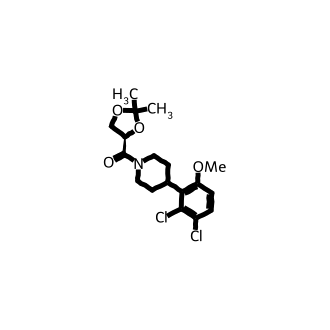 COc1ccc(Cl)c(Cl)c1C1CCN(C(=O)[C@H]2COC(C)(C)O2)CC1